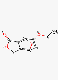 O=C1OCc2c1c1oc2cc1OC[SiH3]